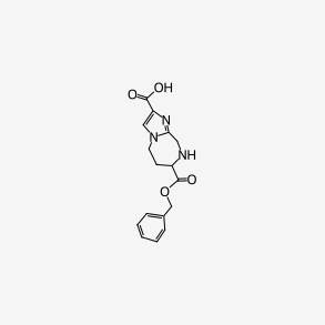 O=C(O)c1cn2c(n1)CNC(C(=O)OCc1ccccc1)CC2